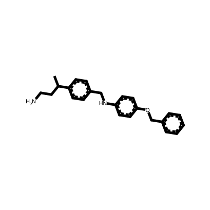 CC(CCN)c1ccc(CNc2ccc(OCc3ccccc3)cc2)cc1